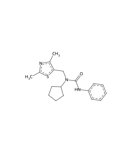 Cc1nc(C)c(CN(C(=O)Nc2ccccc2)C2CCCC2)s1